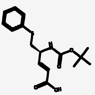 CC(C)(C)OC(=O)N[C@H](C=CC(=O)O)CSc1ccccc1